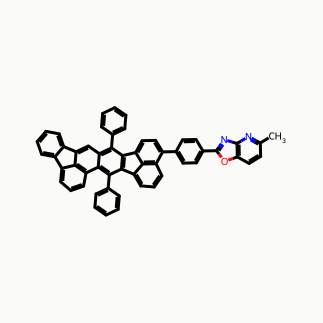 Cc1ccc2oc(-c3ccc(-c4ccc5c6c(-c7ccccc7)c7cc8c9ccccc9c9cccc(c7c(-c7ccccc7)c6c6cccc4c56)c98)cc3)nc2n1